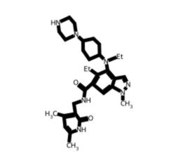 CCc1c(C(=O)NCc2c(C)cc(C)[nH]c2=O)cc2c(cnn2C)c1N(CC)C1CCC(N2CCNCC2)CC1